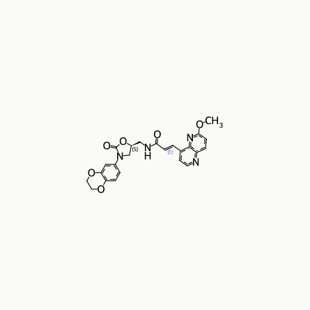 COc1ccc2nccc(/C=C/C(=O)NC[C@H]3CN(c4ccc5c(c4)OCCO5)C(=O)O3)c2n1